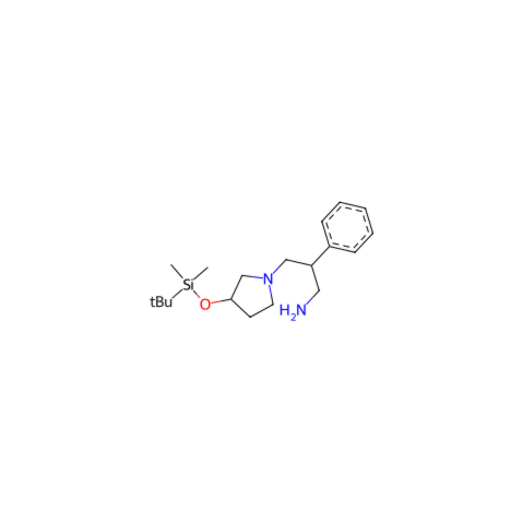 CC(C)(C)[Si](C)(C)OC1CCN(CC(CN)c2ccccc2)C1